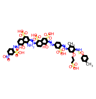 Cc1ccc(OSNc2cc(C)c(N=Nc3ccc(N=Nc4c(S(=O)(=O)O)cc5c(S(=O)(=O)O)c(N=Nc6cc(S(=O)(=O)O)c7ccc(N=Nc8ccc([N+](=O)[O-])cc8S(=O)(=O)O)c(O)c7c6N)ccc5c4O)cc3S(=O)(=O)O)cc2OCCCS(=O)(=O)O)cc1